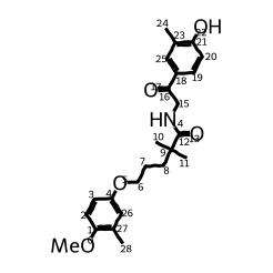 COc1ccc(OCCCC(C)(C)C(=O)NCC(=O)c2ccc(O)c(C)c2)cc1C